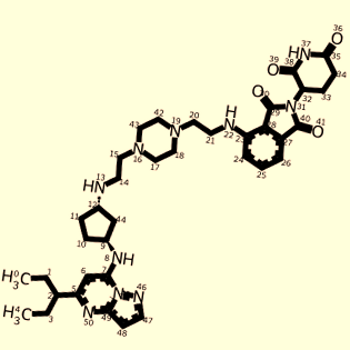 CCC(CC)c1cc(N[C@H]2CC[C@H](NCCN3CCN(CCNc4cccc5c4C(=O)N(C4CCC(=O)NC4=O)C5=O)CC3)C2)n2nccc2n1